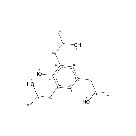 CC(O)Cc1cc(CC(C)O)c(O)c(CC(C)O)c1